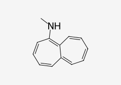 CNC1=C2C=CC=CC=C2C=CC=C1